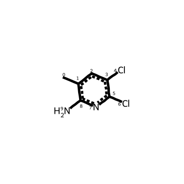 Cc1cc(Cl)c(Cl)nc1N